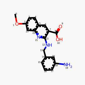 COc1ccc2cc(C(=O)O)c(NCc3cccc(N)c3)nc2c1